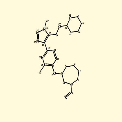 C=CC1CCCCC(Oc2ccc(-c3nnn(C)c3COC3CCCCO3)nc2C)C1